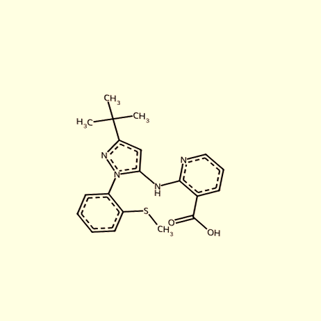 CSc1ccccc1-n1nc(C(C)(C)C)cc1Nc1ncccc1C(=O)O